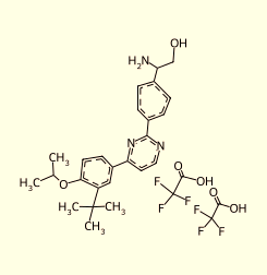 CC(C)Oc1ccc(-c2ccnc(-c3ccc(C(N)CO)cc3)n2)cc1C(C)(C)C.O=C(O)C(F)(F)F.O=C(O)C(F)(F)F